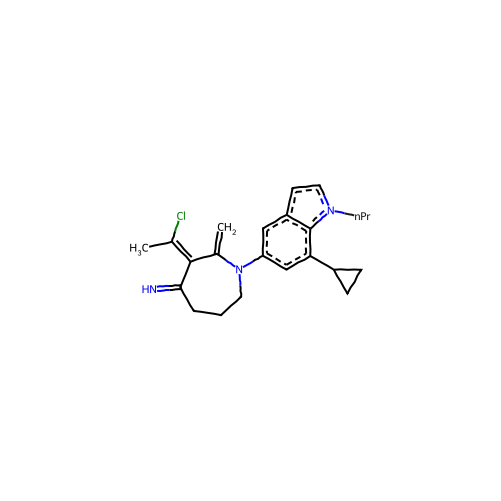 C=C1/C(=C(/C)Cl)C(=N)CCCN1c1cc(C2CC2)c2c(ccn2CCC)c1